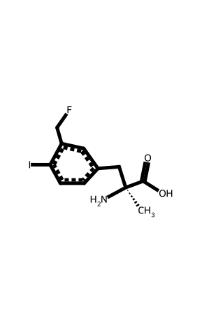 C[C@](N)(Cc1ccc(I)c(CF)c1)C(=O)O